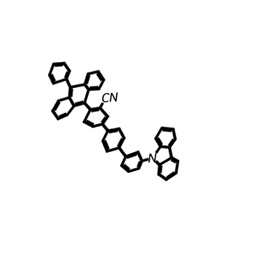 N#Cc1cc(-c2ccc(-c3cccc(-n4c5ccccc5c5ccccc54)c3)cc2)ccc1-c1c2ccccc2c(-c2ccccc2)c2ccccc12